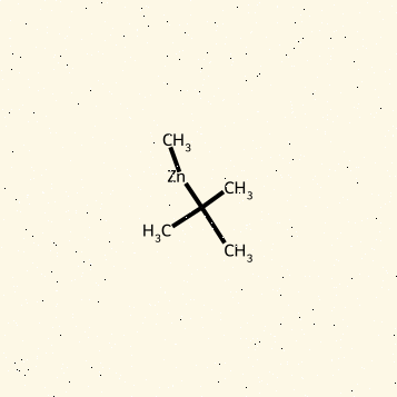 [CH3][Zn][C](C)(C)C